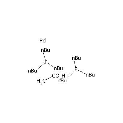 CC(=O)O.CCCCP(CCCC)CCCC.CCCCP(CCCC)CCCC.[Pd]